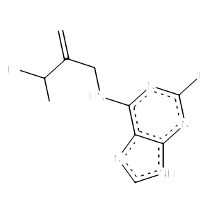 C=C(CNc1nc(F)nc2[nH]cnc12)C(I)CC